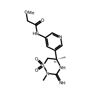 COCC(=O)Nc1cncc([C@]2(C)CS(=O)(=O)N(C)C(=N)N2)c1